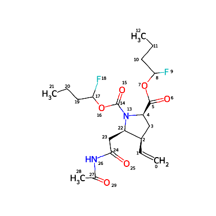 C=C[C@@H]1C[C@H](C(=O)OC(F)CCC)N(C(=O)OC(F)CCC)[C@@H]1CC(=O)NC(C)=O